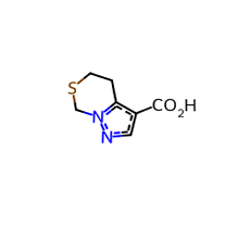 O=C(O)c1cnn2c1CCSC2